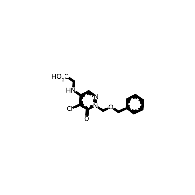 O=C(O)CNc1cnn(COCc2ccccc2)c(=O)c1Cl